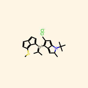 CSC1=C2C(=CC=[C]2[Zr+2]([C]2=C(C)C=C3C2=CC(C)N3C(C)(C)C)=[C](C)C)C=C1.[Cl-].[Cl-]